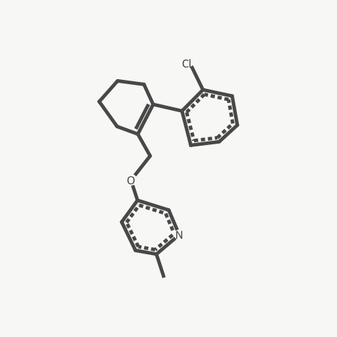 Cc1ccc(OCC2=C(c3ccccc3Cl)CCCC2)cn1